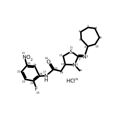 CN1C(=NC2CCCCCC2)SCC1CC(=O)Nc1cc([N+](=O)[O-])ccc1F.Cl